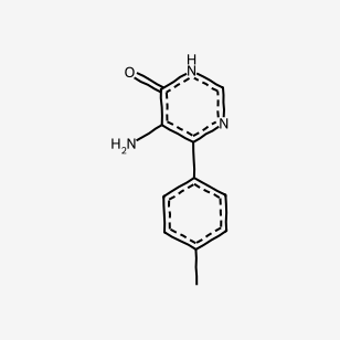 Cc1ccc(-c2nc[nH]c(=O)c2N)cc1